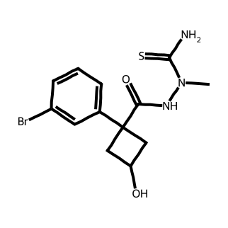 CN(NC(=O)C1(c2cccc(Br)c2)CC(O)C1)C(N)=S